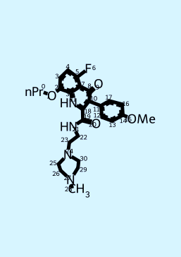 CCCOc1ccc(F)c2c(=O)c(-c3ccc(OC)cc3)c(C(=O)NCCN3CCN(C)CC3)[nH]c12